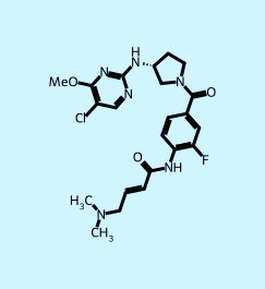 COc1nc(N[C@@H]2CCN(C(=O)c3ccc(NC(=O)/C=C/CN(C)C)c(F)c3)C2)ncc1Cl